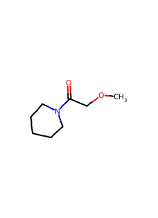 COCC(=O)N1CCCCC1